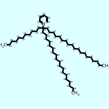 CCCCCCCCCCCCCCCCCCCC(CCCCCCCCCCC)(CCCCCCCCCCCCCCCCCCC)[n+]1ccccc1